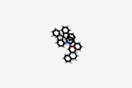 c1ccc(-c2ccccc2N(c2ccc3c(c2)-c2ccccc2CC3)c2cccc3c2C2(c4ccccc4-c4ccccc42)c2ccccc2-3)cc1